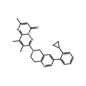 Cc1cc(=O)n2nc(N3CCc4ncc(-c5ccccc5C5CC5)cc4C3)c(C)c(C)c2n1